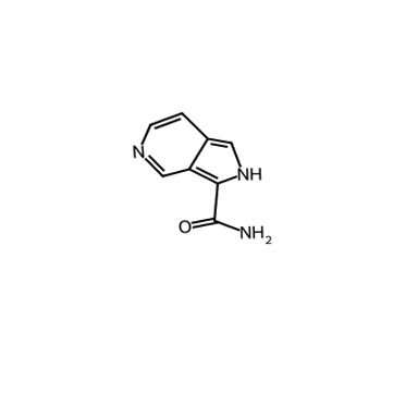 NC(=O)c1[nH]cc2ccncc12